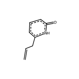 C=CCc1cccc(=O)[nH]1